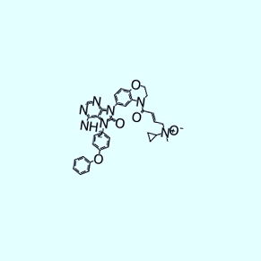 C[N+]([O-])(C/C=C/C(=O)N1CCOc2ccc(-n3c(=O)n(-c4ccc(Oc5ccccc5)cc4)c4c(N)ncnc43)cc21)C1CC1